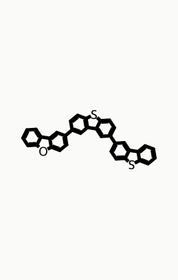 c1ccc2c(c1)oc1ccc(-c3ccc4sc5ccc(-c6ccc7sc8ccccc8c7c6)cc5c4c3)cc12